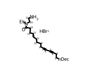 Br.CCCCCCCCCCCCC#CC#CCCCCCCCCC(=O)N(CC)CCN